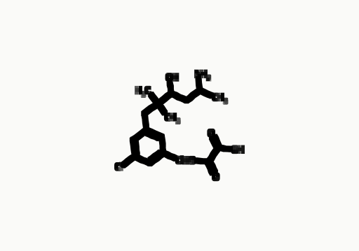 CC(N)CC(O)C(C)(C)Cc1cc(Cl)cc(Cl)c1.O=C(O)C(=O)O